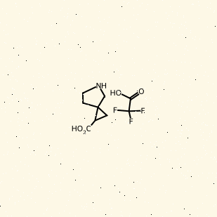 O=C(O)C(F)(F)F.O=C(O)C1CC12CCNC2